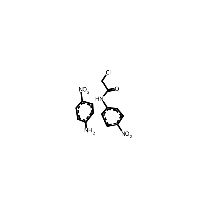 Nc1ccc([N+](=O)[O-])cc1.O=C(CCl)Nc1ccc([N+](=O)[O-])cc1